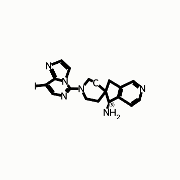 N[C@@H]1c2ccncc2CC12CCN(c1ncc(I)c3nccn13)CC2